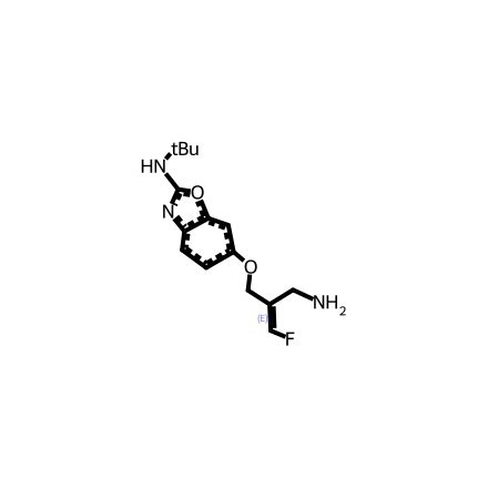 CC(C)(C)Nc1nc2ccc(OC/C(=C/F)CN)cc2o1